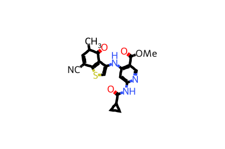 COC(=O)c1cnc(NC(=O)C2CC2)cc1Nc1csc2c1C(=O)C(C)C=C2C#N